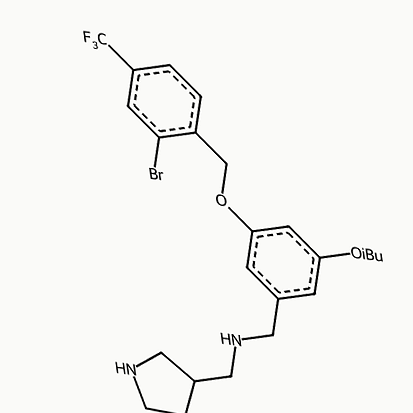 CC(C)COc1cc(CNCC2CCNC2)cc(OCc2ccc(C(F)(F)F)cc2Br)c1